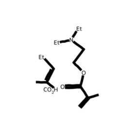 C=C(C)C(=O)OCCN(CC)CC.CCC=C(C)C(=O)O